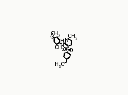 CCc1ccc(S(=O)(=O)c2ccc(C)nc2Nc2ccc(OC)cc2C)cc1